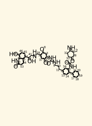 COc1cc(NC(=O)NCCCc2ccc(-c3ccccc3)c(NC(=O)OC3CCC(N)CC3)c2)c(Cl)cc1CNC[C@@H](O)c1ccc(O)c2[nH]c(=O)ccc12